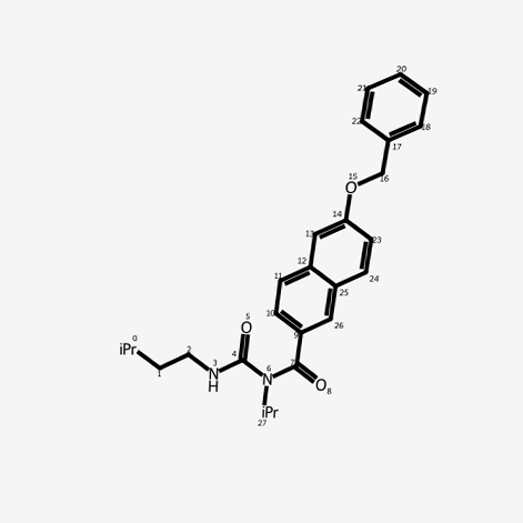 CC(C)CCNC(=O)N(C(=O)c1ccc2cc(OCc3ccccc3)ccc2c1)C(C)C